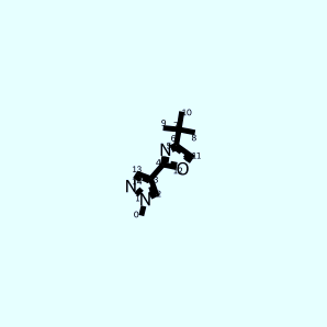 Cn1cc(-c2nc(C(C)(C)C)co2)cn1